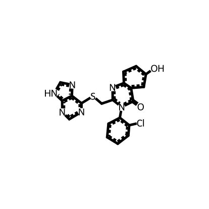 O=c1c2cc(O)ccc2nc(CSc2ncnc3[nH]cnc23)n1-c1ccccc1Cl